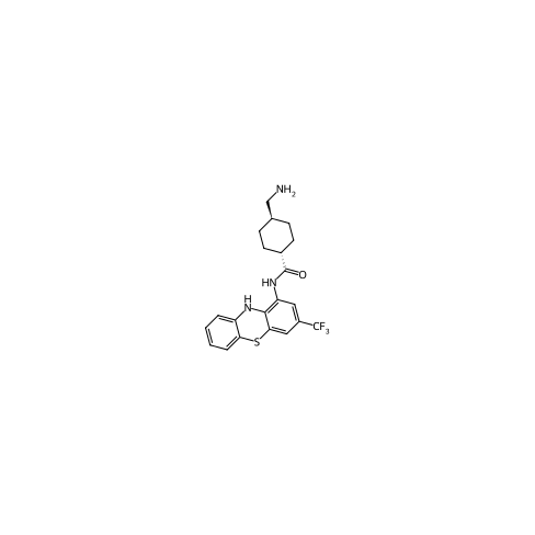 NC[C@H]1CC[C@H](C(=O)Nc2cc(C(F)(F)F)cc3c2Nc2ccccc2S3)CC1